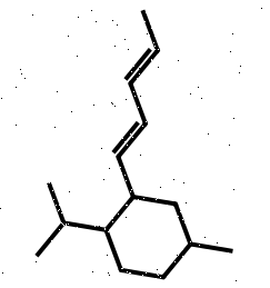 CC=CC=CC1CC(C)CCC1C(C)C